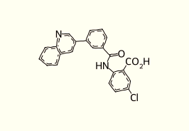 O=C(Nc1ccc(Cl)cc1C(=O)O)c1cccc(-c2cnc3ccccc3c2)c1